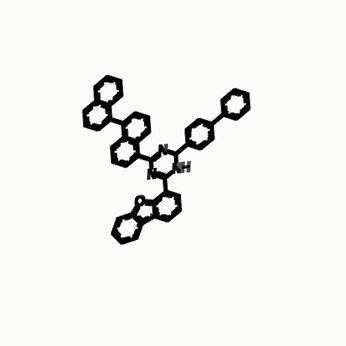 c1ccc(-c2ccc(C3N=C(c4cccc5c(-c6cccc7ccccc67)cccc45)N=C(c4cccc5c4oc4ccccc45)N3)cc2)cc1